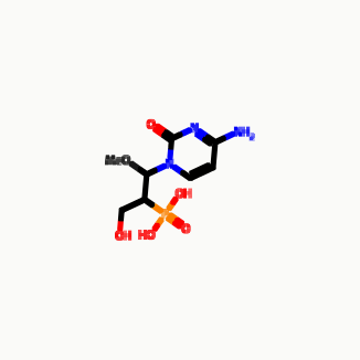 COC(C(CO)P(=O)(O)O)n1ccc(N)nc1=O